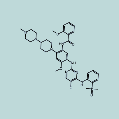 COc1cc(N2CCC(N3CCN(C)CC3)CC2)c(NC(=O)c2ccccc2OC)cc1Nc1ncc(Cl)c(Nc2ccccc2P(C)(C)=O)n1